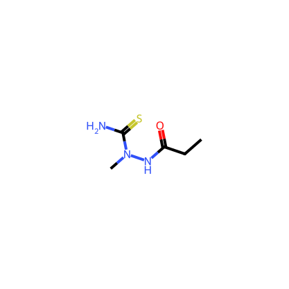 CCC(=O)NN(C)C(N)=S